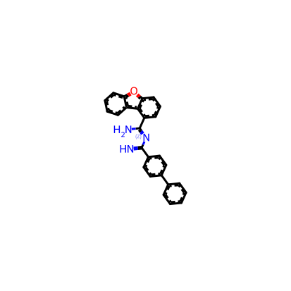 N=C(/N=C(\N)c1cccc2oc3ccccc3c12)c1ccc(-c2ccccc2)cc1